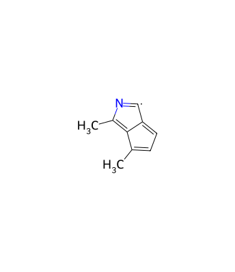 CC1=CC=C2[C]=NC(C)=C12